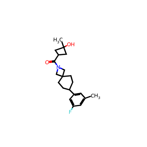 Cc1cc(F)cc(C2CCC3(CC2)CN(C(=O)C2CC(C)(O)C2)C3)c1